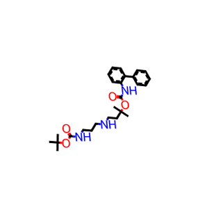 CC(C)(C)OC(=O)NCCCNCCC(C)(C)OC(=O)Nc1ccccc1-c1ccccc1